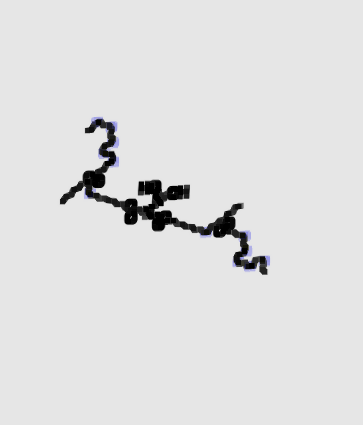 CC/C=C\C/C=C\C/C=C\C/C=C\C/C=C\CCCC(=O)OC(C/C=C\CCCCCCCCOC(=O)CCN(CCC(=O)OCCCCCCCC/C=C\CC(CCCCCC)OC(=O)CCC/C=C\C/C=C\C/C=C\C/C=C\C/C=C\CC)CCN(CCO)CCO)CCCCCC